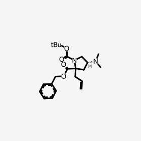 C=CCC1(C(=O)OCc2ccccc2)C[C@@H](N(C)C)CN1C(=O)OC(C)(C)C